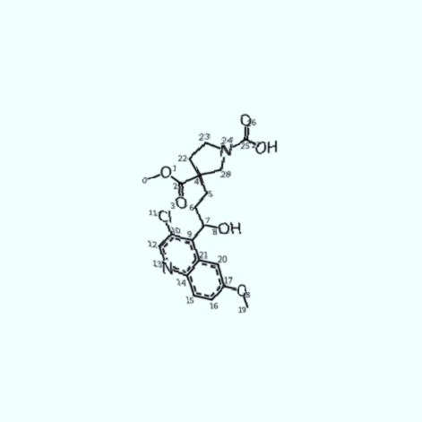 COC(=O)C1(CCC(O)c2c(Cl)cnc3ccc(OC)cc23)CCN(C(=O)O)C1